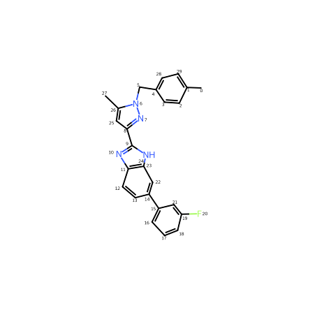 Cc1ccc(Cn2nc(-c3nc4ccc(-c5cccc(F)c5)cc4[nH]3)cc2C)cc1